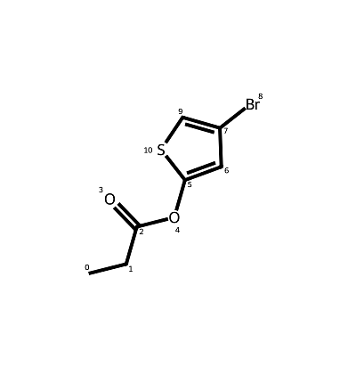 CCC(=O)Oc1cc(Br)cs1